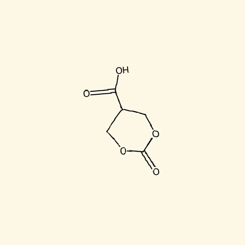 O=C1OCC(C(=O)O)CO1